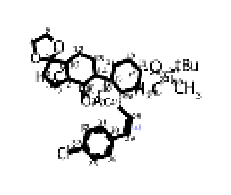 CC(=O)O[C@H]1C2CCC3(OCCO3)[C@@]2(C)CCC1[C@@]1(C)CC[C@H](O[Si](C)(C)C(C)(C)C)C[C@@H]1C/C=C\c1ccc(Cl)cc1